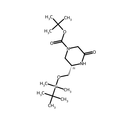 CC(C)(C)OC(=O)N1CC(=O)N[C@H](CO[Si](C)(C)C(C)(C)C)C1